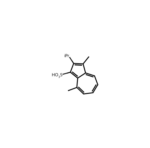 Cc1ccccc2c(C)c(C(C)C)c(S(=O)(=O)O)c1-2